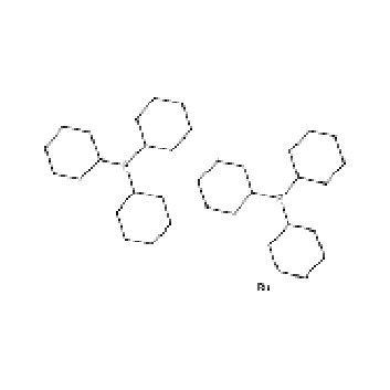 C1CCC(P(C2CCCCC2)C2CCCCC2)CC1.C1CCC(P(C2CCCCC2)C2CCCCC2)CC1.[Ru]